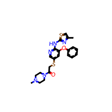 Cc1csc(Nc2ncc(SCC(=O)N3CCN(C)CC3)cc2Oc2ccccc2)n1